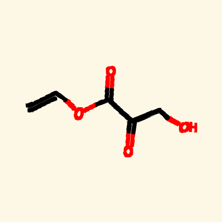 C=COC(=O)C(=O)CO